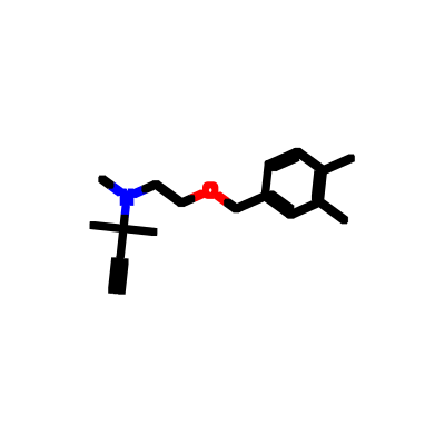 C#CC(C)(C)N(C)CCOCc1ccc(C)c(C)c1